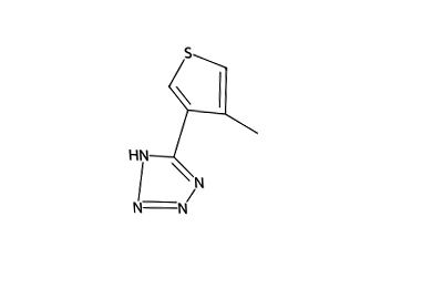 Cc1cscc1-c1nnn[nH]1